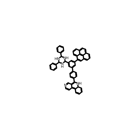 C1=CC2=c3ccncc3=C(c3ccc(-c4cc(-c5cc6cccc7ccc8cccc5c8c76)cc(C5NC(c6ccccc6)NC(c6ccccc6)N5)c4)cc3)NC2C=C1